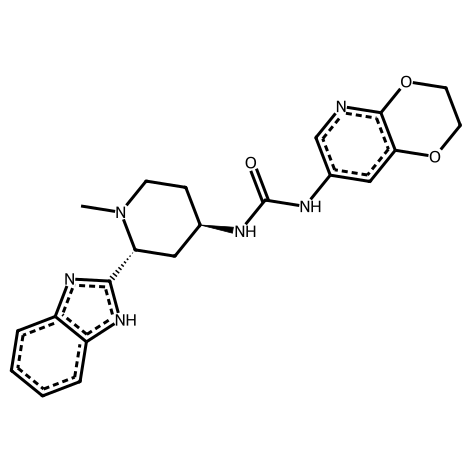 CN1CC[C@@H](NC(=O)Nc2cnc3c(c2)OCCO3)C[C@@H]1c1nc2ccccc2[nH]1